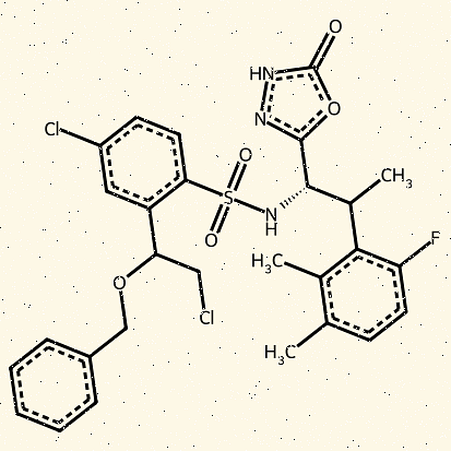 Cc1ccc(F)c(C(C)[C@H](NS(=O)(=O)c2ccc(Cl)cc2C(CCl)OCc2ccccc2)c2n[nH]c(=O)o2)c1C